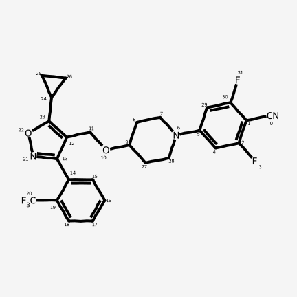 N#Cc1c(F)cc(N2CCC(OCc3c(-c4ccccc4C(F)(F)F)noc3C3CC3)CC2)cc1F